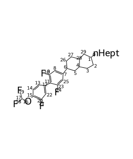 CCCCCCCC1CCC2CC(c3cc(F)c(-c4ccc(OC(F)F)c(F)c4)c(F)c3)CCC2C1